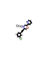 O=CN1CC(c2ccccn2)OCC1C#Cc1cccc(Cl)c1